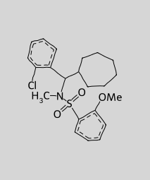 COc1ccccc1S(=O)(=O)N(C)C(c1ccccc1Cl)C1CCCCCC1